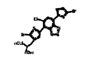 CCCCCCCCCCC(CCCCCCCC)Cc1cc(-c2c(Cl)cc(-c3ccc(Br)s3)c3nsnc23)sc1Br